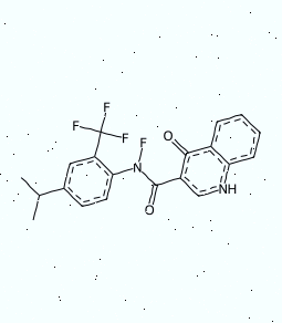 CC(C)c1ccc(N(F)C(=O)c2c[nH]c3ccccc3c2=O)c(C(F)(F)F)c1